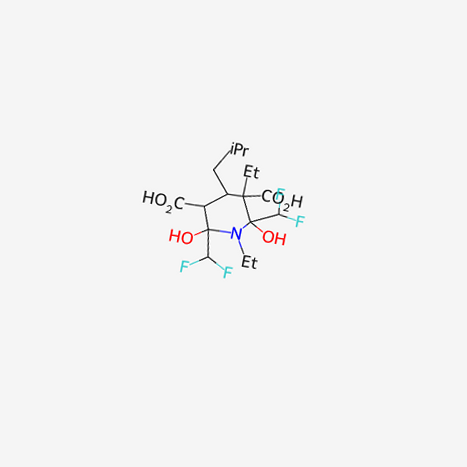 CCN1C(O)(C(F)F)C(C(=O)O)C(CC(C)C)C(CC)(C(=O)O)C1(O)C(F)F